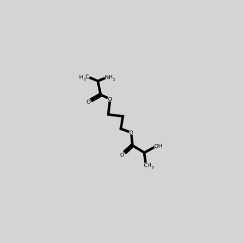 CC(N)C(=O)OCCCOC(=O)C(C)O